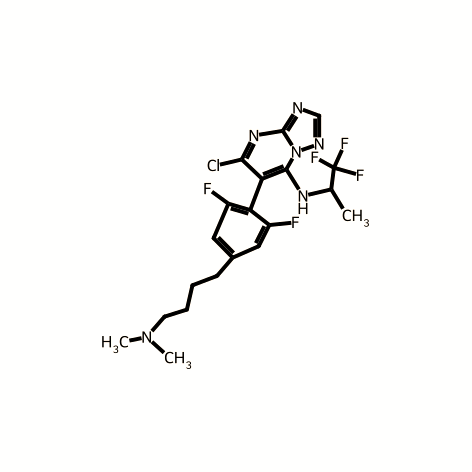 CC(Nc1c(-c2c(F)cc(CCCCN(C)C)cc2F)c(Cl)nc2ncnn12)C(F)(F)F